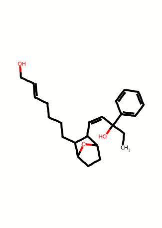 CCC(O)(/C=C\C1C2CCC(O2)C1CCCC/C=C/CO)c1ccccc1